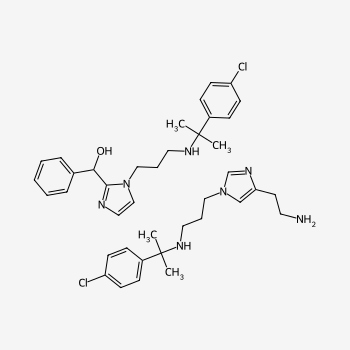 CC(C)(NCCCn1ccnc1C(O)c1ccccc1)c1ccc(Cl)cc1.CC(C)(NCCCn1cnc(CCN)c1)c1ccc(Cl)cc1